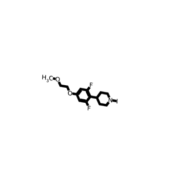 COCCOc1cc(F)c(C2CCN(I)CC2)c(F)c1